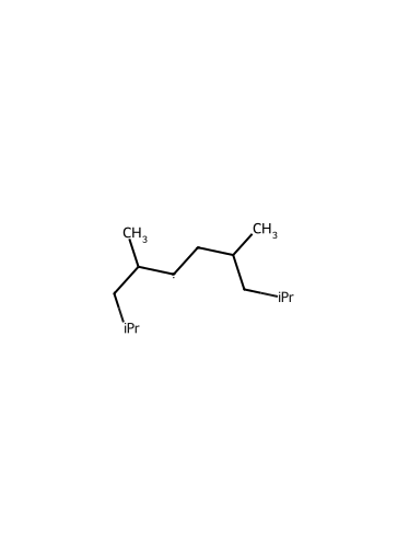 CC(C)CC(C)[CH]CC(C)CC(C)C